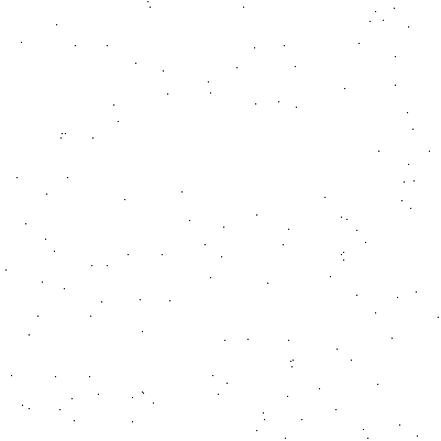 C=CC.[Cl][Ce]([Cl])[Cl]